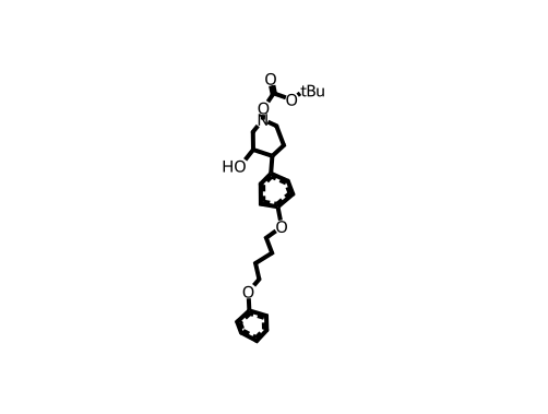 CC(C)(C)OC(=O)ON1CCC(c2ccc(OCCCCOc3ccccc3)cc2)C(O)C1